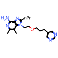 CCCc1nc2c(N)nc(C)c(C)c2n1CCOCCCc1cncnc1